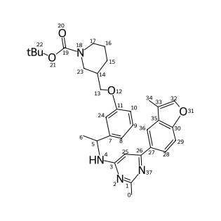 Cc1nc(NC(C)c2cccc(OCC3CCCN(C(=O)OC(C)(C)C)C3)c2)cc(-c2ccc3occ(C)c3c2)n1